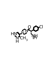 CC(C)NC[C@@H](C(=O)N1CCN(C2=CNCNC2C)CC1)c1ccc(Cl)cc1